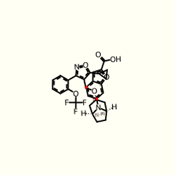 O=C(O)c1cc2ccc(N3[C@@H]4CC[C@H]3C[C@H](OCc3c(-c5ccccc5OC(F)(F)F)noc3C3CC3)C4)cc2o1